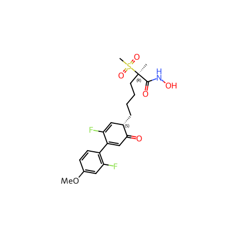 COc1ccc(C2=CC(=O)[C@@H](CCCC[C@](C)(C(=O)NO)S(C)(=O)=O)C=C2F)c(F)c1